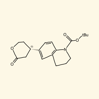 CC(C)(C)OC(=O)N1CCCc2cc([C@H]3CCOC(=O)C3)ccc21